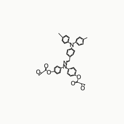 Cc1ccc(N(c2ccc(C)cc2)c2ccc(C=NN(c3ccc(OC(=O)C4CO4)cc3)c3ccc(OC(=O)C4CO4)cc3)cc2)cc1